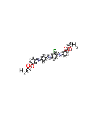 C=CC(=O)Oc1cccc(/C=C/c2ccc(/C=C/c3ccc(/C=C/c4cccc(OC(=O)C=C)c4)c(F)c3)cc2)c1